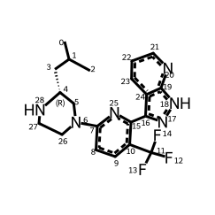 CC(C)C[C@@H]1CN(c2ccc(C(F)(F)F)c(-c3n[nH]c4ncccc34)n2)CCN1